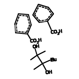 CCC(C)C(C)(O)C(C)(C)O.O=C(O)c1ccccc1.O=C(O)c1ccccc1